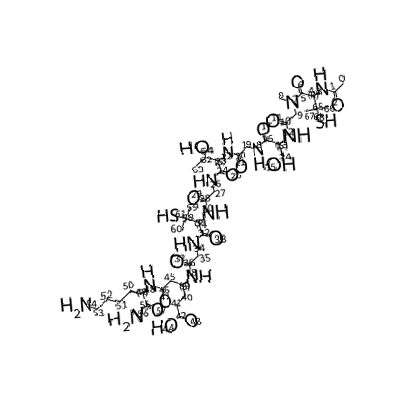 CC(=O)N[C@H](C(=O)N(C)CC(=O)N[C@@H](CO)C(=O)NCC(=O)N[C@H](C(=O)NCC(=O)N[C@H](C(=O)NCC(=O)N[C@@H](CCC(=O)O)CC(=O)N[C@H](CCCCN)C(N)=O)C(C)(C)S)C(C)O)C(C)(C)S